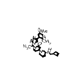 COc1cnc(C)c(-c2cn(C(C)n3ccc(N4CCC[C@@H](NCC5CCC5)C4)cc3=O)nn2)c1